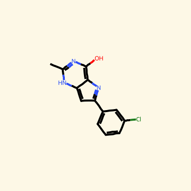 Cc1nc(O)c2nc(-c3cccc(Cl)c3)cc-2[nH]1